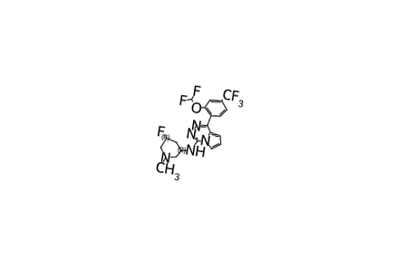 CN1C[C@H](F)C[C@@H](Nc2nnc(-c3ccc(C(F)(F)F)cc3OC(F)F)c3cccn23)C1